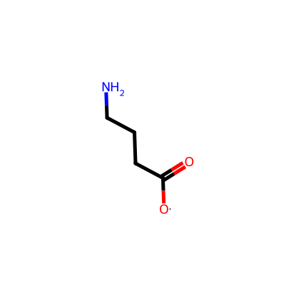 NCCCC([O])=O